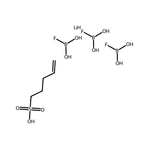 C=CCCCS(=O)(=O)O.OB(O)F.OB(O)F.OB(O)F.[LiH]